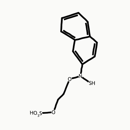 O=S(=O)(O)OCCON(S)c1ccc2ccccc2c1